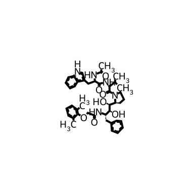 CC(=O)NC(Cc1c[nH]c2ccccc12)C(=O)NC(C(=O)N1CCC[C@H]1[C@H](O)[C@@H](O)[C@H](Cc1ccccc1)NC(=O)COc1c(C)cccc1C)C(C)C